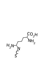 NC(CCCC(N)C(=O)O)N=C=S